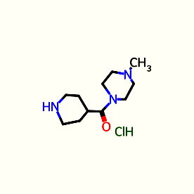 CN1CCN(C(=O)C2CCNCC2)CC1.Cl